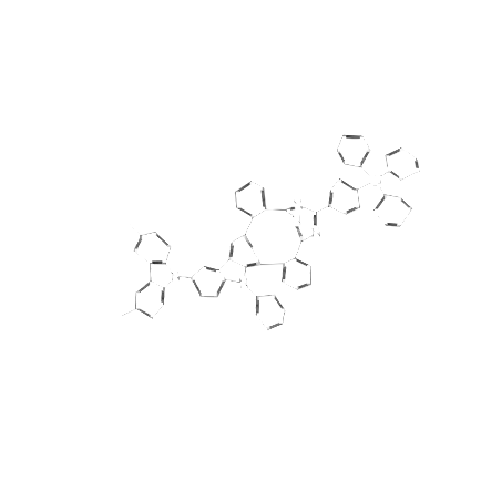 Cc1ccc2c(c1)c1cc(C)ccc1n2-c1ccc2c(c1)c1cc3cc(c4ccccc4c4nc(-c5ccc([Si](c6ccccc6)(c6ccccc6)c6ccccc6)cc5)nc(n4)c4ccccc34)c1n2-c1ccccc1